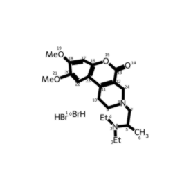 Br.Br.CCN(CC)C(C)CN1CCc2c(c(=O)oc3cc(OC)c(OC)cc23)C1